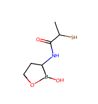 CC(S)C(=O)NC1CCOB1O